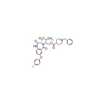 CC(C)C(COC(=O)C1CCN(Cc2ccccc2)CC1)N1CC(=O)Nc2ccc(Oc3ccc(F)cc3)cc2C1=O